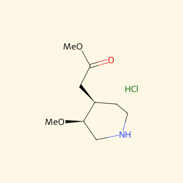 COC(=O)C[C@H]1CCNC[C@H]1OC.Cl